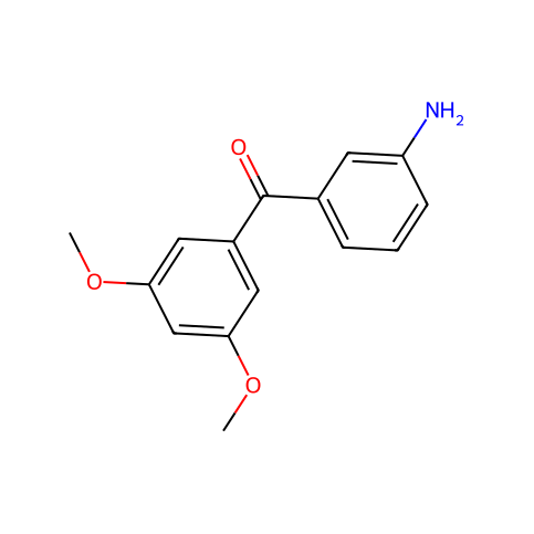 COc1cc(OC)cc(C(=O)c2cccc(N)c2)c1